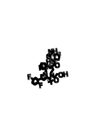 CC(C)(C)[C@H](c1cc(-c2cc(F)ccc2F)cn1Cc1ccccc1)N(CC[C@H](N)C(=O)N[C@H]1CCC[C@H]1C(N)=O)C(=O)CO